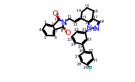 O=C1c2ccccc2C(=O)N1CC=C1CCCc2cnn(-c3cccc(-c4ccc(F)cc4)c3)c21